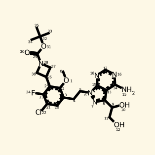 COc1c(CCn2nc(C(O)CO)c3c(N)ncnc32)cc(Cl)c(F)c1C1CN(C(=O)OC(C)(C)C)C1